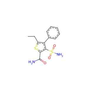 CCc1sc(C(N)=O)c(S(N)(=O)=O)c1-c1ccccc1